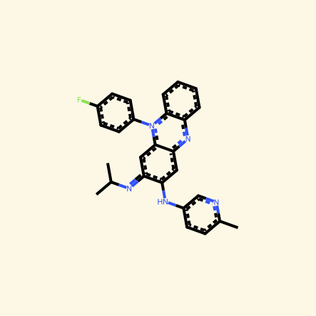 Cc1ccc(Nc2cc3nc4ccccc4n(-c4ccc(F)cc4)c-3c/c2=N\C(C)C)cn1